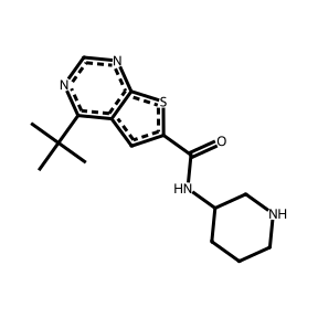 CC(C)(C)c1ncnc2sc(C(=O)NC3CCCNC3)cc12